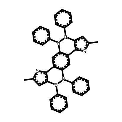 Cc1cc2c(s1)-c1cc3c(cc1N(c1ccccc1)B2c1ccccc1)-c1sc(C)cc1B(c1ccccc1)N3c1ccccc1